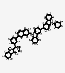 c1ccc(-n2c3ccccc3c3cc(-c4ccc5c(c4)c4ccccc4n5-c4ccc5ccc(-c6cccc(-c7ncnc8c7oc7ccccc78)c6)cc5c4)ccc32)cc1